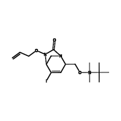 C=CCON1C(=O)N2CC1C(I)=CC2CO[Si](C)(C)C(C)(C)C